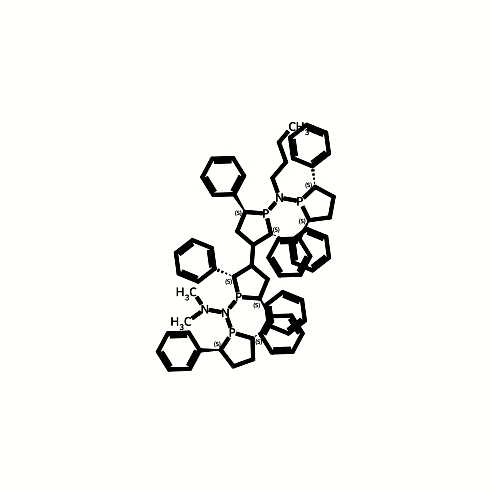 CCCCN(P1[C@H](c2ccccc2)C(C2C[C@@H](c3ccccc3)P(N(N(C)C)P3[C@H](c4ccccc4)CC[C@H]3c3ccccc3)[C@@H]2c2ccccc2)C[C@H]1c1ccccc1)P1[C@H](c2ccccc2)CC[C@H]1c1ccccc1